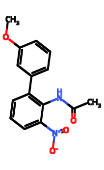 COc1cccc(-c2cccc([N+](=O)[O-])c2NC(C)=O)c1